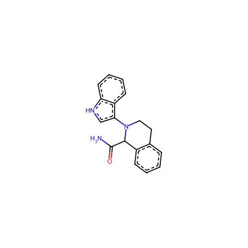 NC(=O)C1c2ccccc2CCN1c1c[nH]c2ccccc12